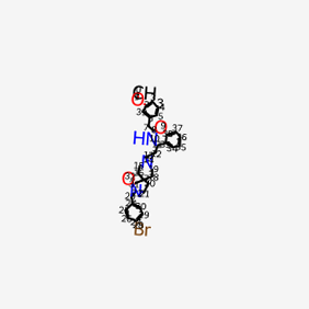 COc1cccc(CC(=O)NC(CCN2CCC3(CC2)CCN(Cc2ccc(Br)cc2)C3=O)c2ccccc2)c1